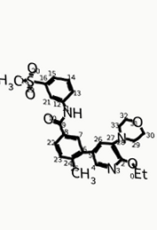 CCOc1ncc(-c2cc(C(=O)Nc3cccc(S(C)(=O)=O)c3)ccc2C)cc1N1CCOCC1